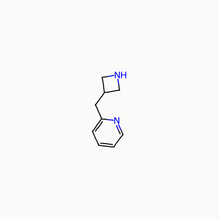 c1ccc(CC2CNC2)nc1